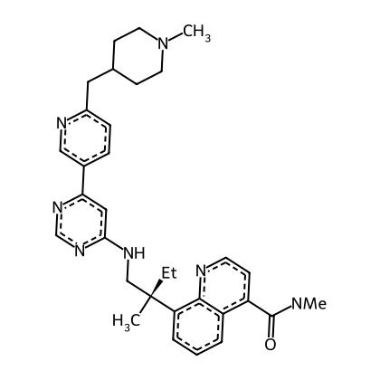 CC[C@@](C)(CNc1cc(-c2ccc(CC3CCN(C)CC3)nc2)ncn1)c1cccc2c(C(=O)NC)ccnc12